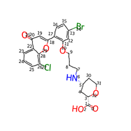 O=C(O)[C@@H]1C[C@H](NCCCOc2cc(Br)ccc2-c2cc(=O)c3cccc(Cl)c3o2)CCO1